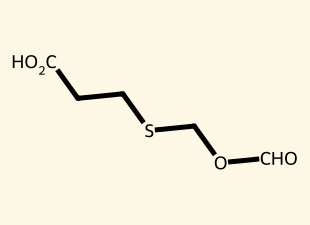 O=COCSCCC(=O)O